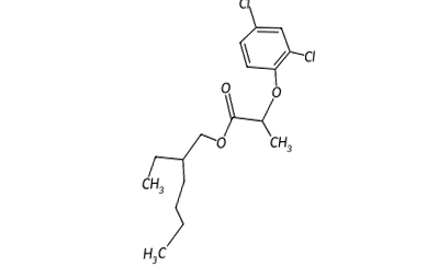 CCCCC(CC)COC(=O)C(C)Oc1ccc(Cl)cc1Cl